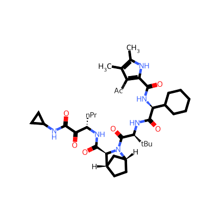 CCC[C@H](NC(=O)[C@@H]1[C@H]2CC[C@H](C2)N1C(=O)[C@@H](NC(=O)[C@@H](NC(=O)c1[nH]c(C)c(C)c1C(C)=O)C1CCCCC1)C(C)(C)C)C(=O)C(=O)NC1CC1